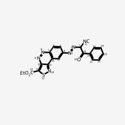 [C-]#[N+]C(/N=N/c1ccc2nnc3c(C(=O)OCC)snc3c2c1)C(=O)c1ccccc1